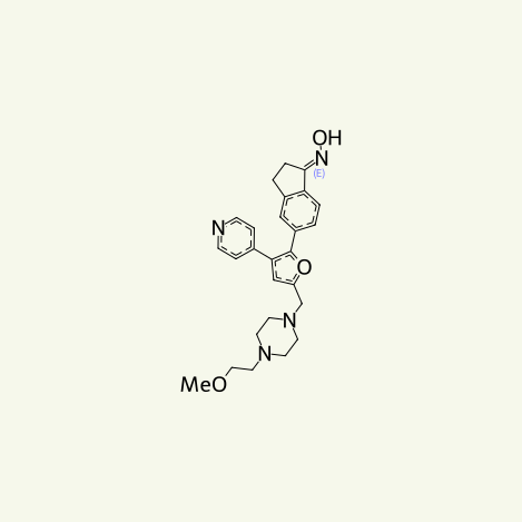 COCCN1CCN(Cc2cc(-c3ccncc3)c(-c3ccc4c(c3)CC/C4=N\O)o2)CC1